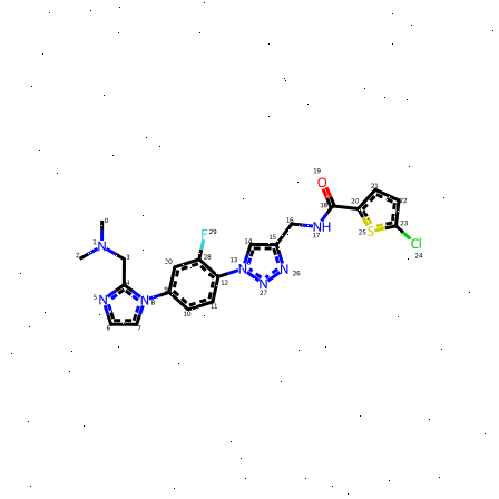 CN(C)Cc1nccn1-c1ccc(-n2cc(CNC(=O)c3ccc(Cl)s3)nn2)c(F)c1